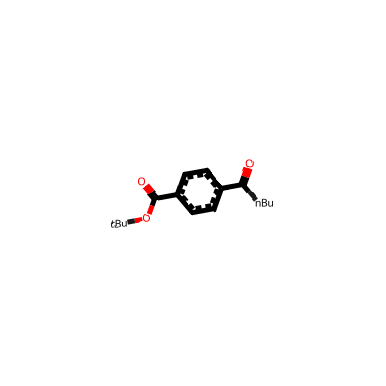 CCCCC(=O)c1ccc(C(=O)OC(C)(C)C)cc1